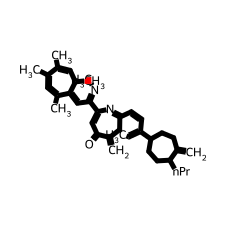 C=C1CC(/C=C\C(=C/C)C2CCC(=C)C(CCC)CC2)=NC(C(/C=C2/C(C)=C=C(C)C(C)=CC2C)=N/C)=CC1=O